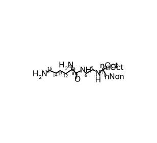 CCCCCCCCCC(CCCCCCCC)(CCCCCCCC)NCCNC(=O)[C@@H](N)CCCCN